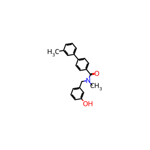 Cc1cccc(-c2ccc(C(=O)N(C)Cc3cccc(O)c3)cc2)c1